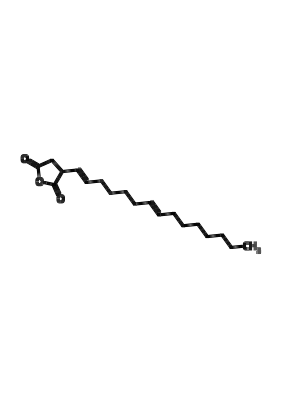 CCCCCCCC=CCCCCC=CC1CC(=O)OC1=O